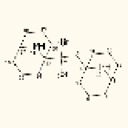 BrC(Br)(CC12CCCC(CCC1)P2)C12CCCC(CCC1)P2